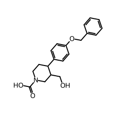 O=C(O)N1CCC(c2ccc(OCc3ccccc3)cc2)C(CO)C1